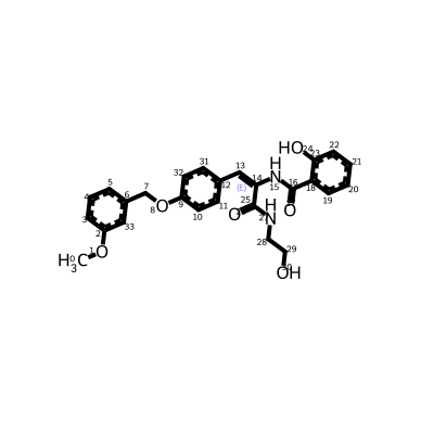 COc1cccc(COc2ccc(/C=C(/NC(=O)c3ccccc3O)C(=O)NCCO)cc2)c1